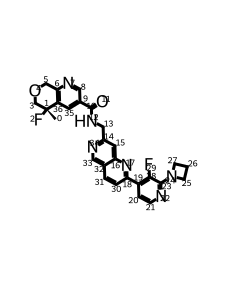 C[C@@]1(F)COCc2ncc(C(=O)NCc3cc4nc(-c5ccnc(N6CCC6)c5F)ccc4cn3)cc21